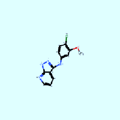 COc1cc(Nc2n[nH]c3ncccc23)ccc1Cl